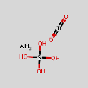 O[Si](O)(O)O.[AlH3].[O]=[Ti]=[O]